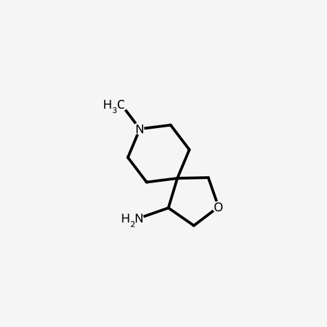 CN1CCC2(CC1)COCC2N